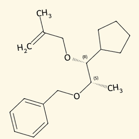 C=C(C)CO[C@H](C1CCCC1)[C@H](C)OCc1ccccc1